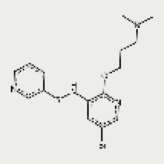 CN(C)CCCOc1ncc(Br)cc1NSc1cccnc1